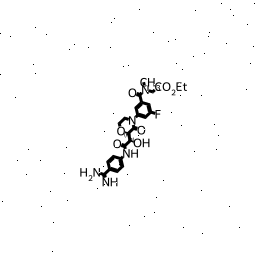 CCOC(=O)CN(C)C(=O)c1cc(F)cc(N2CCO[C@H]([C@@H](O)C(=O)Nc3ccc(C(=N)N)cc3)C2=O)c1